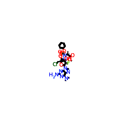 COC(=O)[C@H](C)N[P@](=O)(Oc1ccccc1)OC1[C@@]2(CCl)O[C@@H](n3cnc4c(N(C)C)nc(N)nc43)[C@H](F)[C@@]12O